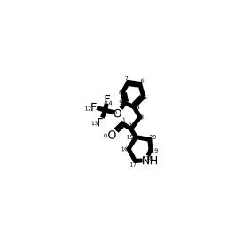 O=CC(Cc1ccccc1OC(F)(F)F)C1CCNCC1